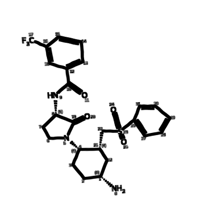 N[C@@H]1CC[C@H](N2CC[C@H](NC(=O)c3cccc(C(F)(F)F)c3)C2=O)[C@H](CS(=O)(=O)c2ccccc2)C1